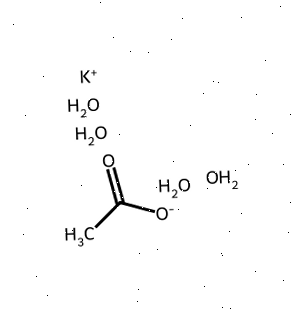 CC(=O)[O-].O.O.O.O.[K+]